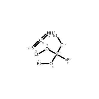 CCC[Si](OCC)(OCC)OCC.N=C=S